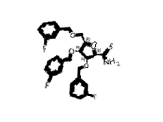 NC(=S)[C@@H]1O[C@H](COCc2cccc(F)c2)[C@@H](OCc2cccc(F)c2)[C@H]1OCc1cccc(F)c1